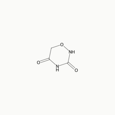 O=C1CONC(=O)N1